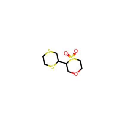 O=S1(=O)CCOCC1C1CSCCS1